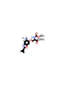 COC(=O)C(COc1cc2oc(C3CC3)nc2cc1N)NC(=O)OC(C)(C)C